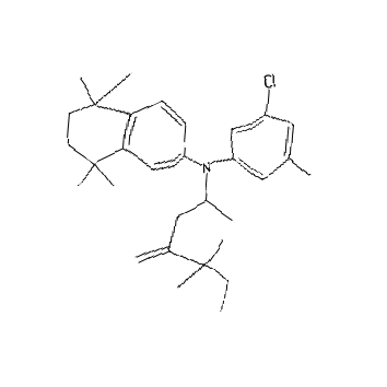 C=C(CC(C)N(c1cc(C)cc(Cl)c1)c1ccc2c(c1)C(C)(C)CCC2(C)C)C(C)(C)CC